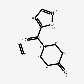 C=C.O=C1CCN(C(=O)c2ccno2)CC1